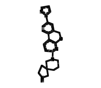 c1cnn(-c2ccc3c(c2)COc2nc(N4CCCC5(CCNC5)C4)ccc2-3)c1